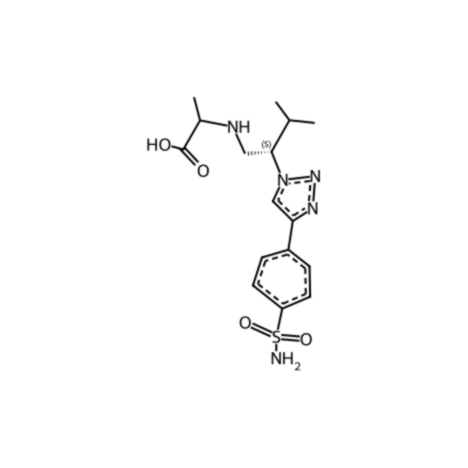 CC(NC[C@H](C(C)C)n1cc(-c2ccc(S(N)(=O)=O)cc2)nn1)C(=O)O